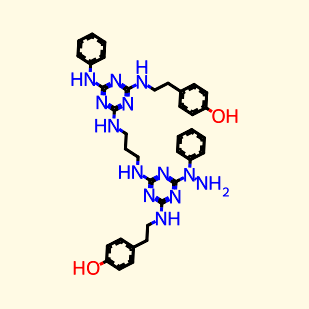 NN(c1ccccc1)c1nc(NCCCNc2nc(NCCc3ccc(O)cc3)nc(Nc3ccccc3)n2)nc(NCCc2ccc(O)cc2)n1